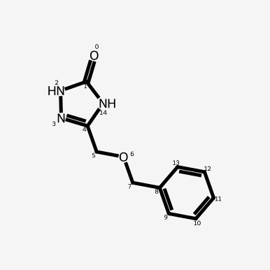 O=c1[nH]nc(COCc2ccccc2)[nH]1